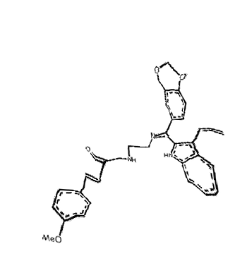 C=Cc1c(/C(=N\CCNC(=O)/C=C/c2ccc(OC)cc2)c2ccc3c(c2)OCO3)[nH]c2ccccc12